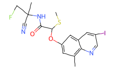 CSC(Oc1cc(C)c2ncc(I)cc2c1)C(=O)NC(C)(C#N)CF